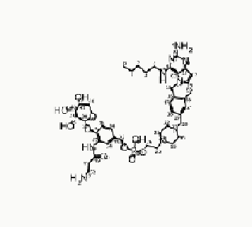 CCCCCNc1nc(N)nc2ccn(Cc3ccc(CN4CCN(CCOP(=O)(O)OCc5ccc(O[C@@H]6OC[C@@H](O)[C@H](O)[C@H]6O)c(NC(=O)CCN)c5)CC4)cc3C)c12